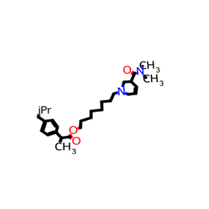 CC(C)Cc1ccc(C(C)C(=O)OCCCCCCCCN2CC=CC(C(=O)N(C)C)C2)cc1